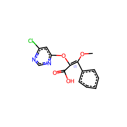 CO/C(=C(\Oc1cc(Cl)ncn1)C(=O)O)c1ccccc1